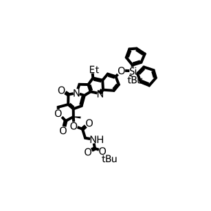 CCc1c2c(nc3ccc(O[Si](c4ccccc4)(c4ccccc4)C(C)(C)C)cc13)-c1cc3c(c(=O)n1C2)COC(=O)[C@@]3(C)OC(=O)CNC(=O)OC(C)(C)C